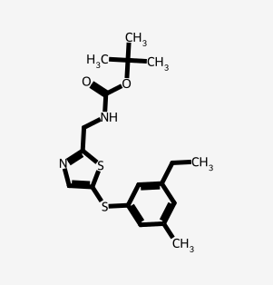 CCc1cc(C)cc(Sc2cnc(CNC(=O)OC(C)(C)C)s2)c1